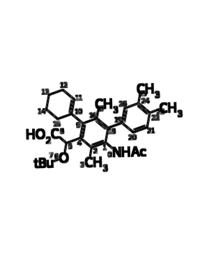 CC(=O)Nc1c(C)c(C(OC(C)(C)C)C(=O)O)c(C2=CCCCC2)c(C)c1-c1ccc(C)c(C)c1